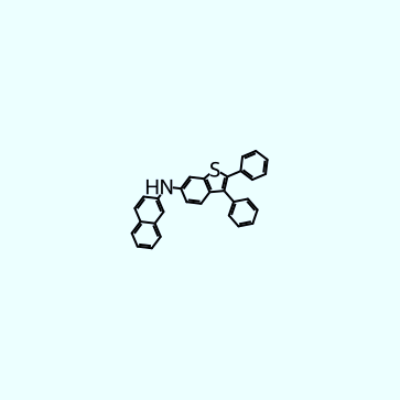 c1ccc(-c2sc3cc(Nc4ccc5ccccc5c4)ccc3c2-c2ccccc2)cc1